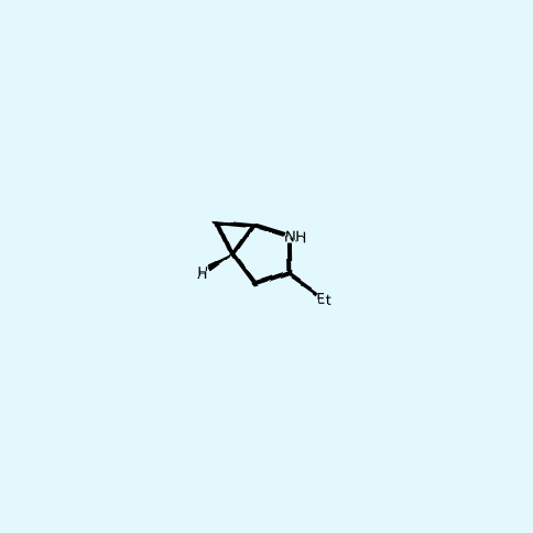 CCC1C[C@@H]2CC2N1